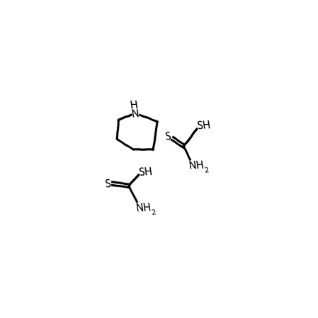 C1CCNCC1.NC(=S)S.NC(=S)S